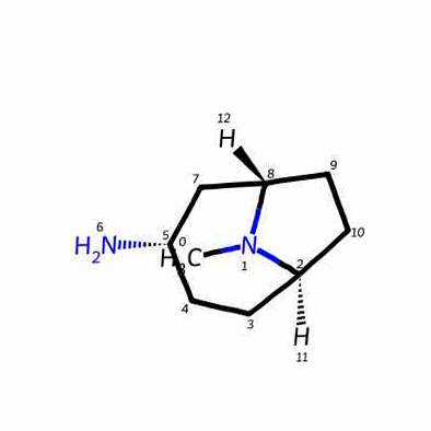 CN1[C@@H]2CC[C@H](N)C[C@@H]1CC2